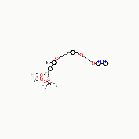 C=C(C)C(=O)OCCC(CCOC(=O)C(=C)C)c1ccc(-c2ccc(OCCCCCCc3ccc(CCOCCCCCCOc4ccc(-c5ccccn5)nc4)cc3)cc2CC)cc1